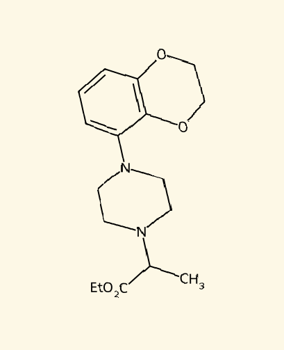 CCOC(=O)C(C)N1CCN(c2cccc3c2OCCO3)CC1